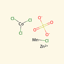 O=S(=O)([O-])[O-].[Cl][Co]([Cl])[Cl].[Cl][Mn].[Zn+2]